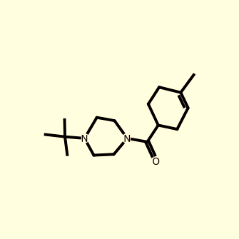 CC1=CCC(C(=O)N2CCN(C(C)(C)C)CC2)CC1